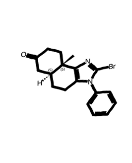 C[C@]12CCC(=O)C[C@@H]1CCc1c2nc(Br)n1-c1ccccc1